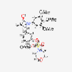 C=C1C(=O)N(c2cc(OC)c(OC)c(OC)c2)[C@H]1c1ccc(OC)c(OS(=O)(=O)N2CCOCC2)c1